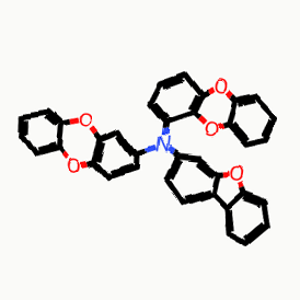 c1ccc2c(c1)Oc1ccc(N(c3ccc4c(c3)oc3ccccc34)c3cccc4c3Oc3ccccc3O4)cc1O2